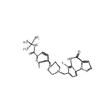 BC(B)(B)NC(=O)c1ccc(N2CCN(Cc3ccc4c([nH]c(=O)c5ccnn54)c3F)CC2)c(F)n1